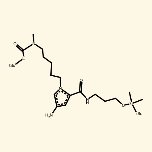 CN(CCCCCn1cc(N)cc1C(=O)NCCCO[Si](C)(C)C(C)(C)C)C(=O)OC(C)(C)C